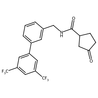 O=C1CCC(C(=O)NCc2cccc(-c3cc(C(F)(F)F)cc(C(F)(F)F)c3)c2)C1